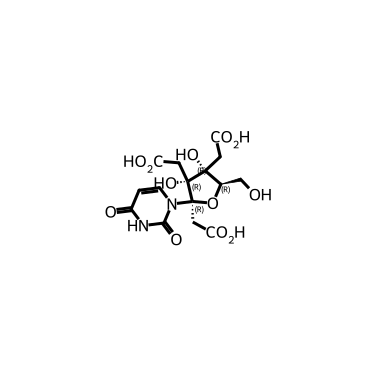 O=C(O)C[C@@]1(O)[C@@](O)(CC(=O)O)[C@@H](CO)O[C@@]1(CC(=O)O)n1ccc(=O)[nH]c1=O